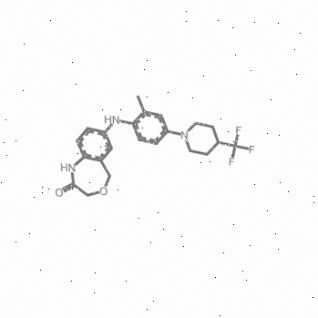 Cc1cc(N2CCC(C(F)(F)F)CC2)ccc1Nc1ccc2c(c1)COCC(=O)N2